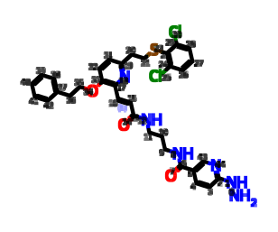 NNc1ccc(C(=O)NCCCNC(=O)/C=C/c2nc(CCSc3c(Cl)cccc3Cl)ccc2OCCc2ccccc2)cn1